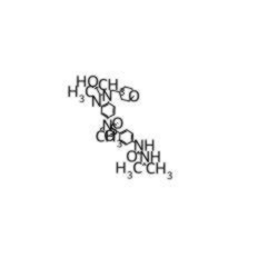 CCN(c1ccc2c(c1)nc(C(C)(C)O)n2CC1CCOCC1)S(=O)(=O)c1ccc(NC(=O)NC(C)C)cc1